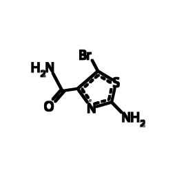 NC(=O)c1nc(N)sc1Br